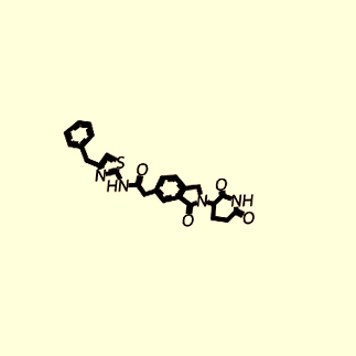 O=C1CCC(N2Cc3ccc(CC(=O)Nc4nc(Cc5ccccc5)cs4)cc3C2=O)C(=O)N1